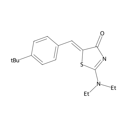 CCN(CC)C1=NC(=O)C(=Cc2ccc(C(C)(C)C)cc2)S1